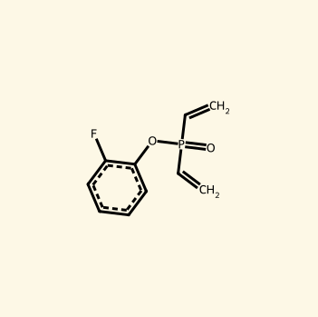 C=CP(=O)(C=C)Oc1ccccc1F